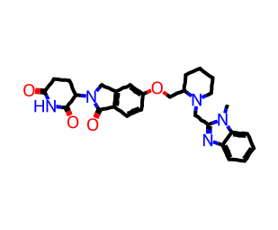 Cn1c(CN2CCCCC2COc2ccc3c(c2)CN(C2CCC(=O)NC2=O)C3=O)nc2ccccc21